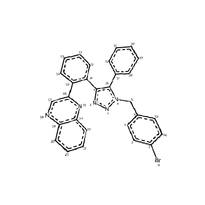 Brc1ccc(Cn2nnc(-c3ccccc3-c3cnc4ccccc4n3)c2-c2ccccc2)cc1